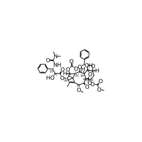 COC(=O)O[C@H]1C[C@H]2OC[C@@]2(OC(C)=O)[C@H]2[C@H](OC(O)c3ccccc3)[C@]34OC(=O)O[C@H]3[C@H](OC(=O)[C@H](O)[C@@H](NC(=O)N(C)C)c3ccccc3)C(C)=C([C@@H](OC)C(=O)[C@]12C)C4(C)C